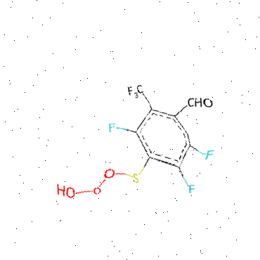 O=Cc1c(F)c(F)c(SOOO)c(F)c1C(F)(F)F